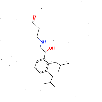 CC(C)Cc1cccc(C(O)CNCCC=O)c1CC(C)C